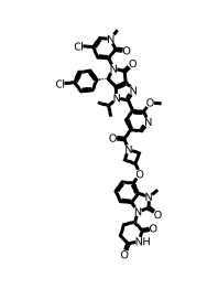 COc1ncc(C(=O)N2CC(Oc3cccc4c3n(C)c(=O)n4C3CCC(=O)NC3=O)C2)cc1-c1nc2c(n1C(C)C)[C@H](c1ccc(Cl)cc1)N(c1cc(Cl)cn(C)c1=O)C2=O